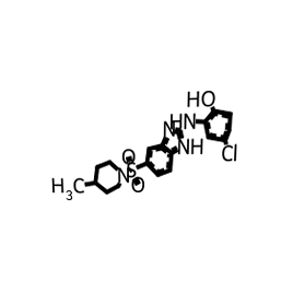 CC1CCN(S(=O)(=O)c2ccc3[nH]c(Nc4cc(Cl)ccc4O)nc3c2)CC1